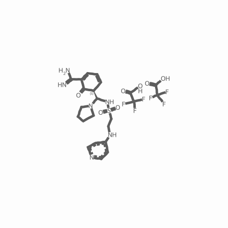 N=C(N)C1=CC=C[C@@H](C(NS(=O)(=O)CCNc2ccncc2)N2CCCC2)C1=O.O=C(O)C(F)(F)F.O=C(O)C(F)(F)F